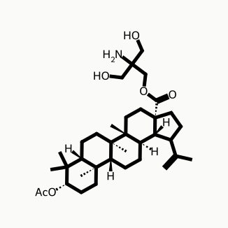 C=C(C)C1CC[C@]2(C(=O)OCC(N)(CO)CO)CC[C@]3(C)[C@H](CC[C@@H]4[C@@]5(C)CC[C@H](OC(C)=O)C(C)(C)[C@@H]5CC[C@]43C)[C@@H]12